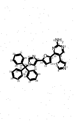 Nc1ncc(-c2cncs2)c(-c2ccc(-c3cn(C(c4ccccc4)(c4ccccc4)c4ccccc4)cn3)o2)n1